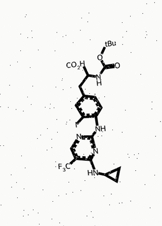 CC(C)(C)OC(=O)NC(Cc1ccc(Nc2ncc(C(F)(F)F)c(NC3CC3)n2)c(I)c1)C(=O)O